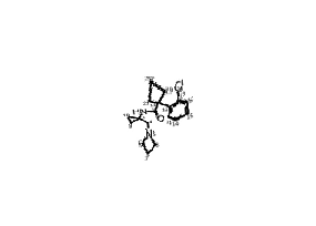 O=C(NC1(CN2CCC2)CC1)C1(c2ccccc2Cl)CCC1